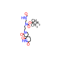 CC(C)(C)OC(=O)N(CCCN1CCC2(CCCC(=O)NC2=O)CC1=O)CCNC=O